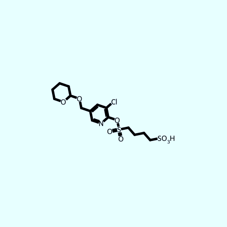 O=S(=O)(O)CCCCS(=O)(=O)Oc1ncc(COC2CCCCO2)cc1Cl